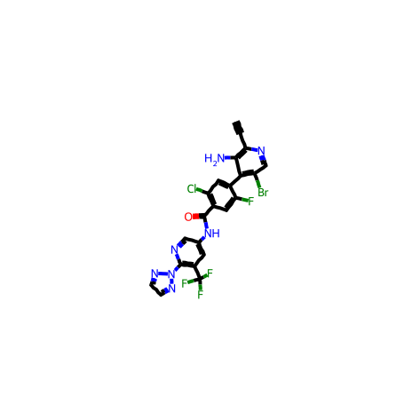 C#Cc1ncc(Br)c(-c2cc(Cl)c(C(=O)Nc3cnc(-n4nccn4)c(C(F)(F)F)c3)cc2F)c1N